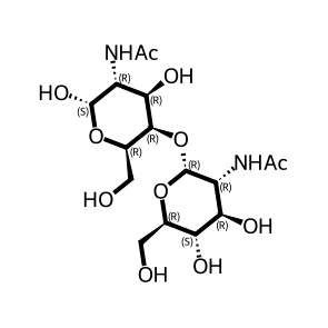 CC(=O)N[C@@H]1[C@@H](O)[C@@H](O[C@H]2O[C@H](CO)[C@@H](O)[C@H](O)[C@H]2NC(C)=O)[C@@H](CO)O[C@@H]1O